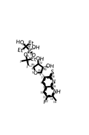 CCC(C)(C[C@H]1O[C@@H](c2cc3cc(F)c(C)[nH]c-3nc2=S)[C@@H](O)C1O)OP(=O)(O)C(O)(CC)CC